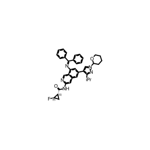 CC(C)c1nn(C2CCCCO2)cc1-c1cc(N=C(c2ccccc2)c2ccccc2)c2cnc(NC(=O)[C@@H]3C[C@H]3F)cc2c1